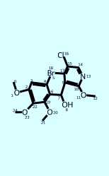 COc1cc(C)c(C(O)c2c(OC)ncc(Cl)c2Br)c(OC)c1OC